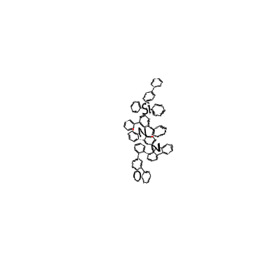 c1ccc(-c2ccc([Si](c3ccccc3)(c3ccccc3)c3cc(-c4ccccc4)c(-n4c5ccccc5c5cc(-n6c7ccccc7c7cccc(-c8ccccc8-c8ccc9oc%10ccccc%10c9c8)c76)ccc54)c(-c4ccccc4)c3)cc2)cc1